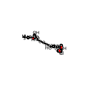 Cc1ncsc1-c1ccc(CNC(=O)[C@@H]2C[C@@H](O)CN2C(=O)[C@@H](NC(=O)CCOCCOCCOCCNC(O)c2ccc(NC(=O)[C@@H]3NC4(CCCCC4)[C@@]4(C(=O)Nc5cc(Cl)ccc54)[C@H]3c3cccc(Cl)c3F)cc2)C(C)(C)C)cc1